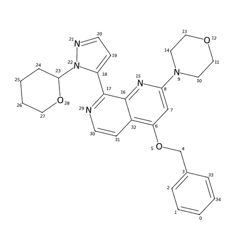 c1ccc(COc2cc(N3CCOCC3)nc3c(-c4ccnn4C4CCCCO4)nccc23)cc1